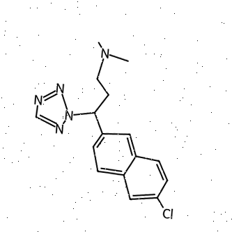 CN(C)CCC(c1ccc2cc(Cl)ccc2c1)n1ncnn1